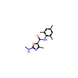 CNc1nc(C)c(C(=O)Nc2c(C)cc(C)cc2C)s1